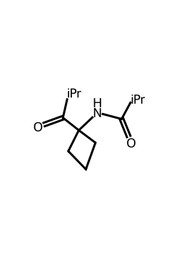 CC(C)C(=O)NC1(C(=O)C(C)C)CCC1